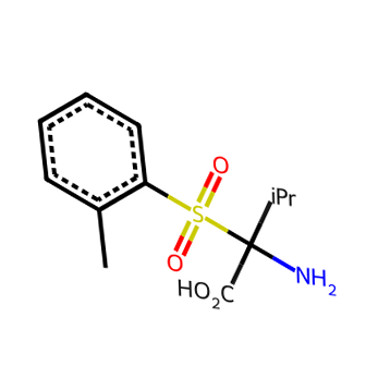 Cc1ccccc1S(=O)(=O)C(N)(C(=O)O)C(C)C